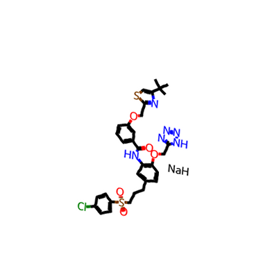 CC(C)(C)c1csc(COc2cccc(C(=O)Nc3cc(CCCS(=O)(=O)c4ccc(Cl)cc4)ccc3OCc3nnn[nH]3)c2)n1.[NaH]